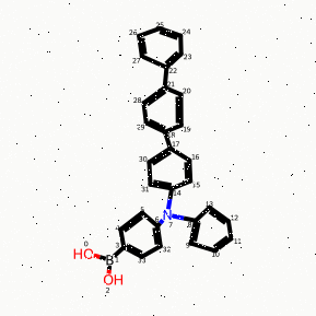 OB(O)c1ccc(N(c2ccccc2)c2ccc(-c3ccc(-c4ccccc4)cc3)cc2)cc1